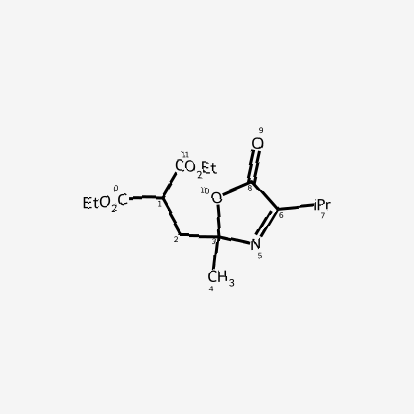 CCOC(=O)C(CC1(C)N=C(C(C)C)C(=O)O1)C(=O)OCC